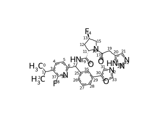 CC(C)c1ccc(C(NC(=O)[C@@H]2C[C@@H](F)CN2C(=O)Cc2cnn[nH]2)c2cccc(-c3cnco3)c2)nc1F